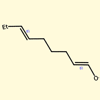 CC/C=C/CCC/C=C/[O]